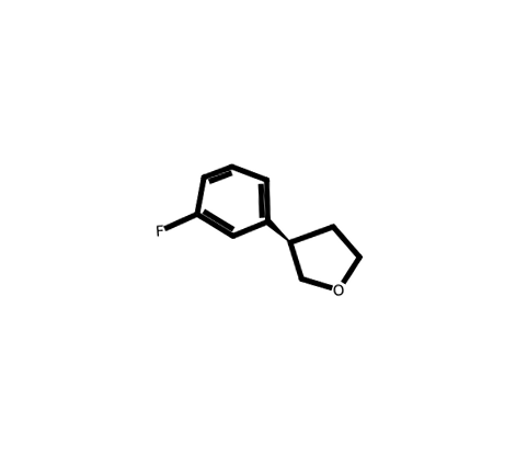 Fc1cccc([C@H]2CCOC2)c1